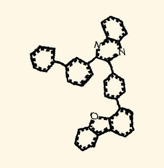 c1ccc(-c2cccc(-c3nc4ccccc4nc3-c3ccc(-c4cccc5c4oc4ccccc45)cc3)c2)cc1